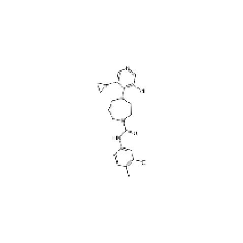 Cc1ccc(NC(=O)N2CCCN(c3c(Cl)cncc3C3CC3)CC2)cc1Cl